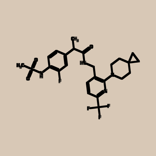 CC(C(=O)NCc1ccc(C(F)(F)F)nc1N1CCC2(CC1)CC2)c1ccc(NS(C)(=O)=O)c(F)c1